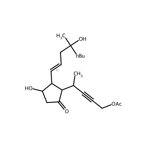 CCCCC(C)(O)C/C=C/C1C(O)CC(=O)C1C(C)C#CCOC(C)=O